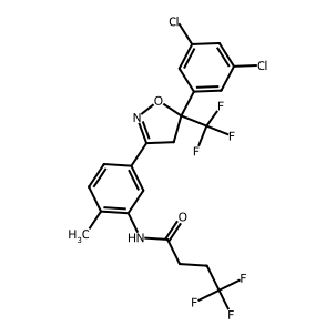 Cc1ccc(C2=NOC(c3cc(Cl)cc(Cl)c3)(C(F)(F)F)C2)cc1NC(=O)CCC(F)(F)F